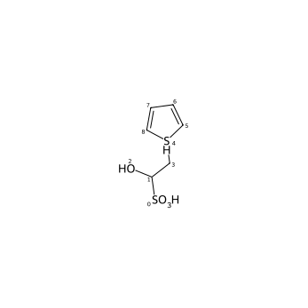 O=S(=O)(O)C(O)C[SH]1C=CC=C1